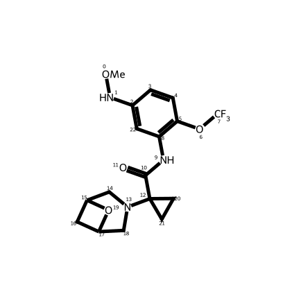 CONc1ccc(OC(F)(F)F)c(NC(=O)C2(N3CC4CC(C3)O4)CC2)c1